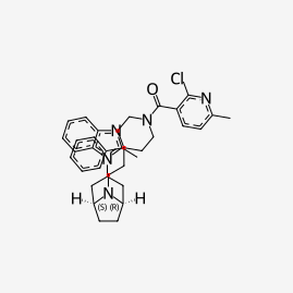 Cc1ccc(C(=O)N2CCC(CCN3[C@@H]4CC[C@H]3CC(n3c(C)nc5ccccc53)C4)(c3ccccc3)CC2)c(Cl)n1